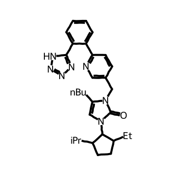 CCCCc1cn(C2C(CC)CCC2C(C)C)c(=O)n1Cc1ccc(-c2ccccc2-c2nnn[nH]2)nc1